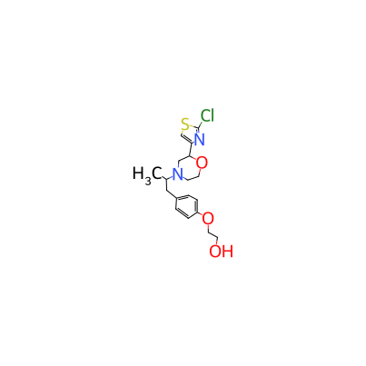 CC(Cc1ccc(OCCO)cc1)N1CCOC(c2csc(Cl)n2)C1